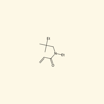 C=CC(=O)N(CC)CC(C)(C)CC